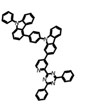 c1ccc(-c2nc(-c3ccccc3)nc(-c3cc(-c4ccc5c6ccccc6n(-c6ccc(-c7cccc8c7c7ccccc7n8-c7ccccc7)cc6)c5c4)ccn3)n2)cc1